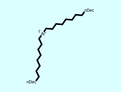 CCCCCCCCCCCCCCCCC[CH2][Al+][CH2]CCCCCCCCCCCCCCCCC.[I-]